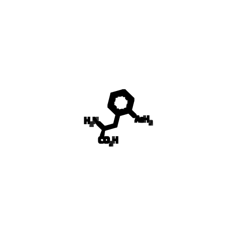 N[C@@H](Cc1ccccc1[AsH2])C(=O)O